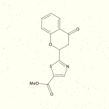 COC(=O)c1cnc(C2CC(=O)c3ccccc3O2)s1